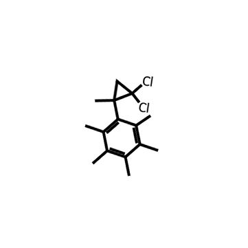 Cc1c(C)c(C)c(C2(C)CC2(Cl)Cl)c(C)c1C